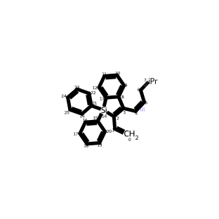 C=CC1=C(/C=C\CC(C)C)c2ccccc2[Si]1(c1ccccc1)c1ccccc1